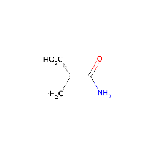 [CH2][C@@H](C(N)=O)C(=O)O